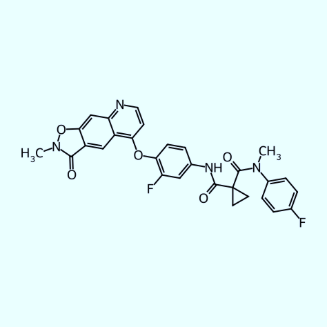 CN(C(=O)C1(C(=O)Nc2ccc(Oc3ccnc4cc5on(C)c(=O)c5cc34)c(F)c2)CC1)c1ccc(F)cc1